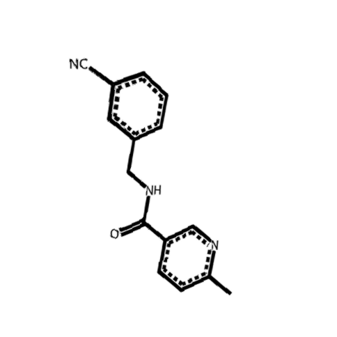 Cc1ccc(C(=O)NCc2cccc(C#N)c2)cn1